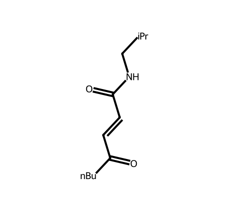 CCCCC(=O)/C=C/C(=O)NCC(C)C